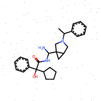 CC(c1ccccc1)N1CC2CC2(C(N)NC(=O)C(O)(c2ccccc2)C2CCCC2)C1